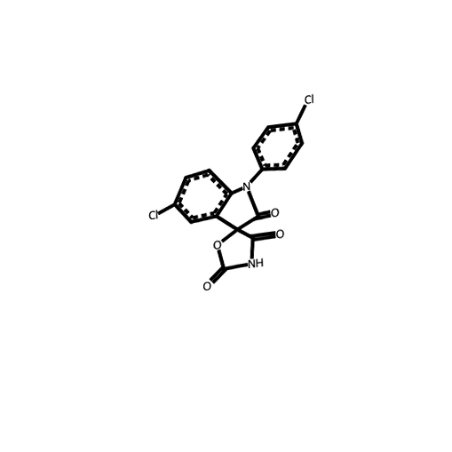 O=C1NC(=O)C2(O1)C(=O)N(c1ccc(Cl)cc1)c1ccc(Cl)cc12